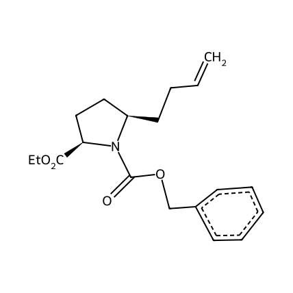 C=CCC[C@@H]1CC[C@H](C(=O)OCC)N1C(=O)OCc1ccccc1